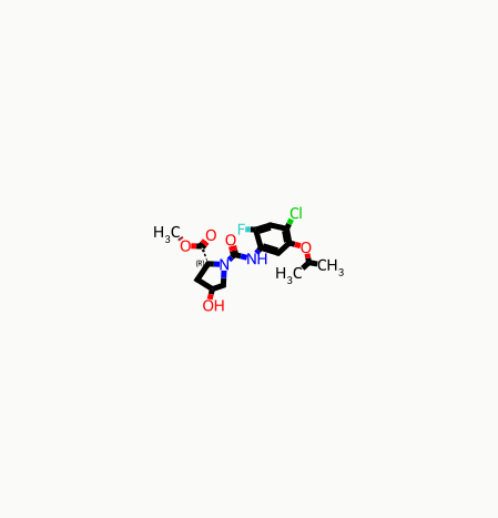 COC(=O)[C@H]1CC(O)CN1C(=O)Nc1cc(OC(C)C)c(Cl)cc1F